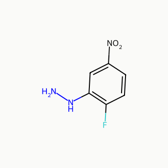 NNc1cc([N+](=O)[O-])ccc1F